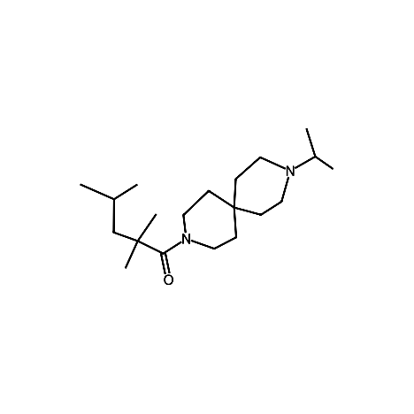 CC(C)CC(C)(C)C(=O)N1CCC2(CC1)CCN(C(C)C)CC2